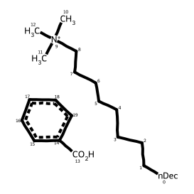 CCCCCCCCCCCCCCCCCC[N+](C)(C)C.O=C(O)c1ccccc1